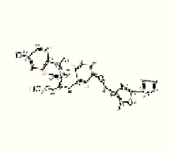 Cc1oc(-c2cccs2)nc1COc1cccc(CN(CC(=O)O)S(=O)(=O)N(C)c2ccc(Cl)cc2)c1